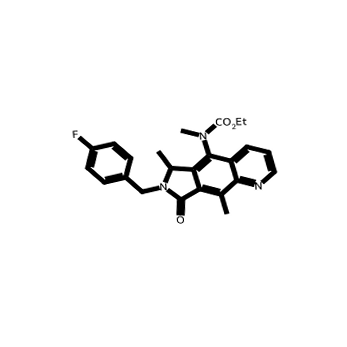 CCOC(=O)N(C)c1c2c(c(C)c3ncccc13)C(=O)N(Cc1ccc(F)cc1)C2C